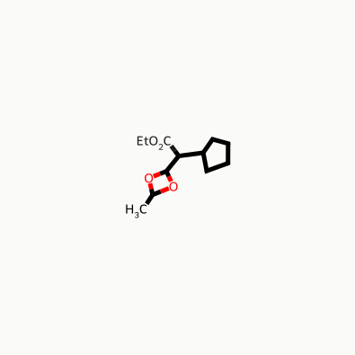 CCOC(=O)C(C1CCCC1)C1OC(C)O1